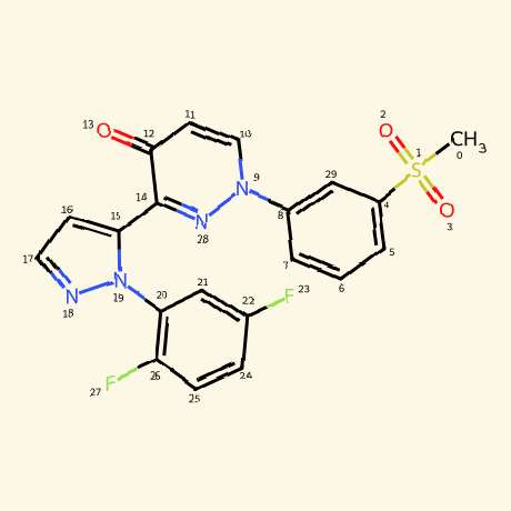 CS(=O)(=O)c1cccc(-n2ccc(=O)c(-c3ccnn3-c3cc(F)ccc3F)n2)c1